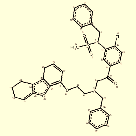 CS(=O)(=O)N(Cc1ccccc1)c1cc(C(=O)CN(CCOC2=c3oc4c(c3CC=C2)CCCC=4)Cc2ccccc2)ccc1Cl